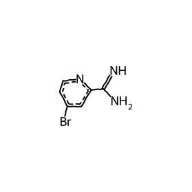 N=C(N)c1cc(Br)ccn1